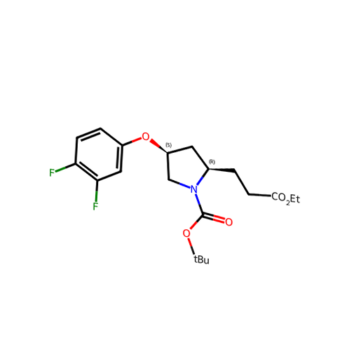 CCOC(=O)CC[C@@H]1C[C@H](Oc2ccc(F)c(F)c2)CN1C(=O)OC(C)(C)C